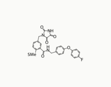 CSc1ccc(CN2C(=O)NC(=O)C2=O)cc1C(=O)NCc1ccc(Oc2ccc(F)cc2)cc1